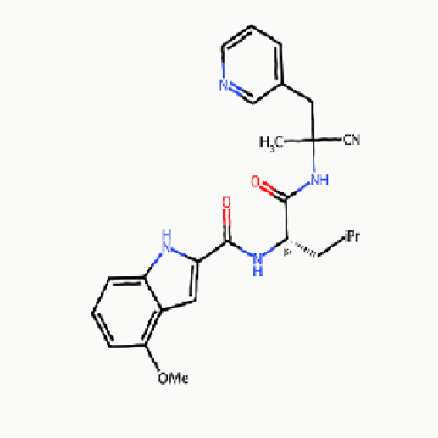 COc1cccc2[nH]c(C(=O)N[C@@H](CC(C)C)C(=O)NC(C)(C#N)Cc3cccnc3)cc12